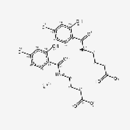 O=C([O-])CCCNC(=O)c1ccc(Cl)cc1O.O=C([O-])CCCNC(=O)c1ccc(Cl)cc1O.[Ca+2]